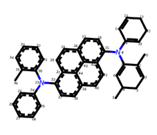 CC1=CCC(C)C=C1N(C1=CCCC=C1)c1ccc2ccc3c(N(c4ccccc4)c4ccccc4C)ccc4ccc1c2c43